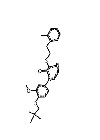 COc1cc(-n2ccnc(SCCc3ccccc3C)c2=O)ccc1OCC(C)(C)C